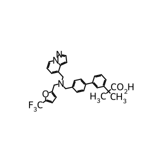 CC(C)(C(=O)O)c1cccc(-c2ccc(CN(Cc3ccc(C(F)(F)F)o3)Cc3cccn4nccc34)cc2)c1